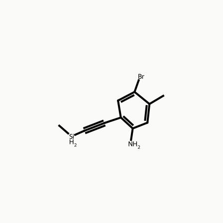 C[SiH2]C#Cc1cc(Br)c(C)cc1N